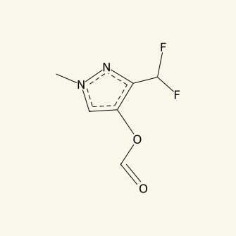 Cn1cc(OC=O)c(C(F)F)n1